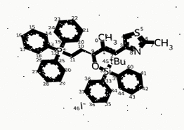 C/C(=C\c1csc(C)n1)[C@H](CC[P+](c1ccccc1)(c1ccccc1)c1ccccc1)O[Si](c1ccccc1)(c1ccccc1)C(C)(C)C.[I-]